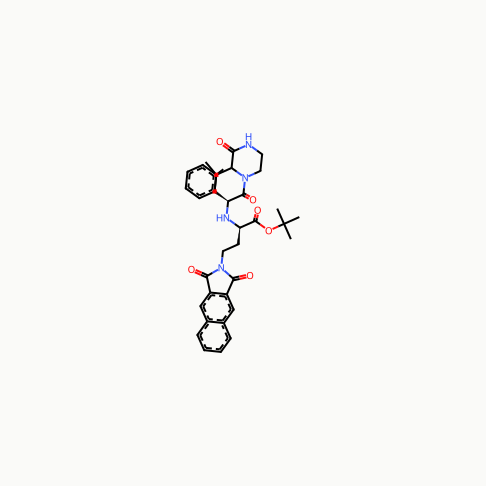 CC(C)C[C@H](N[C@H](CCN1C(=O)c2cc3ccccc3cc2C1=O)C(=O)OC(C)(C)C)C(=O)N1CCNC(=O)C1c1ccccc1